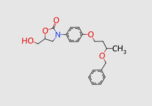 CC(CCOc1ccc(N2CC(CO)OC2=O)cc1)OCc1ccccc1